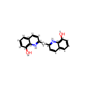 Oc1cccc2cc[c]([Cu][c]3ccc4cccc(O)c4n3)nc12